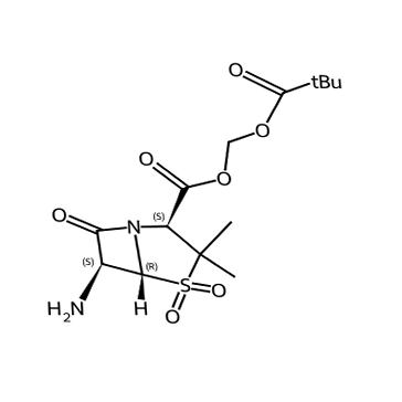 CC(C)(C)C(=O)OCOC(=O)[C@@H]1N2C(=O)[C@H](N)[C@H]2S(=O)(=O)C1(C)C